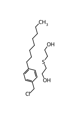 CCCCCCCCc1ccc(CCl)cc1.OCCSCCO